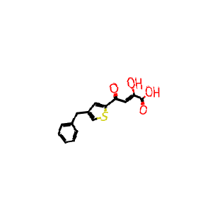 O=C(O)/C(O)=C/C(=O)c1cc(Cc2ccccc2)cs1